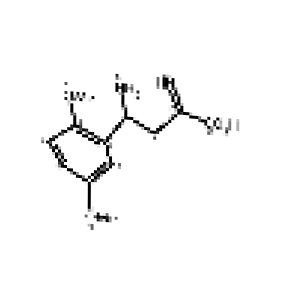 COc1ccc(OC)c(C(N)CC(=N)C(=O)O)c1